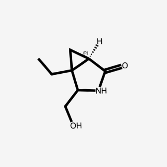 CCC12C[C@H]1C(=O)NC2CO